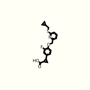 O=C(O)C1CC1c1ccc(OCc2cccc(SCC3CC3)n2)c(F)c1